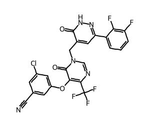 N#Cc1cc(Cl)cc(Oc2c(C(F)(F)F)ncn(Cc3cc(-c4cccc(F)c4F)n[nH]c3=O)c2=O)c1